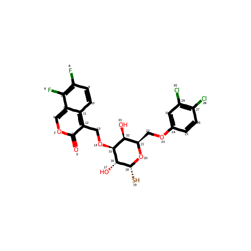 O=c1occ2c(F)c(F)ccc2c1CO[C@@H]1[C@@H](O)[C@@H](S)O[C@H](COc2ccc(Cl)c(Cl)c2)[C@@H]1O